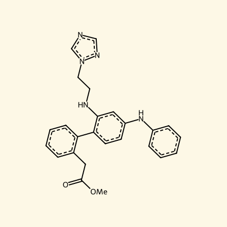 COC(=O)Cc1ccccc1-c1ccc(Nc2ccccc2)cc1NCCn1cncn1